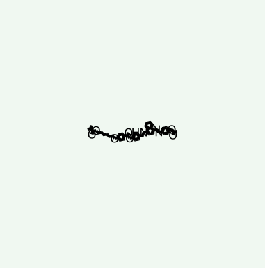 C=C(C)C(=O)OCCCCCCOc1ccc(C(=O)Oc2ccc(CNc3ccc(/N=N/c4ccc(OC(C)=O)cc4)c4ccccc34)cc2)cc1